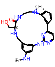 CC(C)Nc1cc2cc(c1)Nc1nccc(n1)-c1cccc(c1)N(C)CCNC(=O)[C@H](CO)NC2